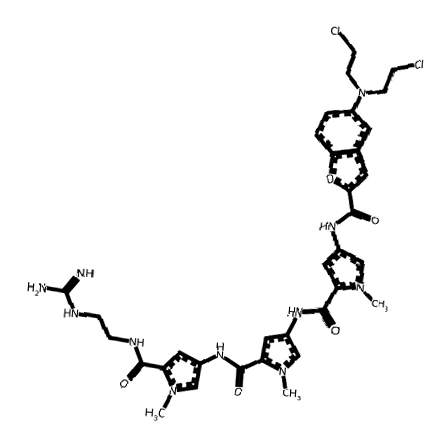 Cn1cc(NC(=O)c2cc(NC(=O)c3cc(NC(=O)c4cc5cc(N(CCCl)CCCl)ccc5o4)cn3C)cn2C)cc1C(=O)NCCNC(=N)N